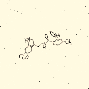 Cc1ccc(C(=O)NCCc2c[nH]c3cc4c(cc23)OCO4)c(O)c1